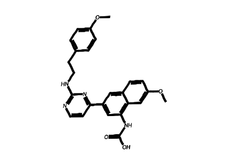 COc1ccc(CCNc2nccc(-c3cc(NC(=O)O)c4cc(OC)ccc4c3)n2)cc1